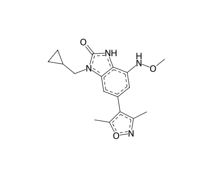 CONc1cc(-c2c(C)noc2C)cc2c1[nH]c(=O)n2CC1CC1